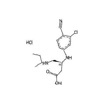 CCC(C)NC[C@H](CC(=O)O)Nc1ccc(C#N)c(Cl)c1.Cl